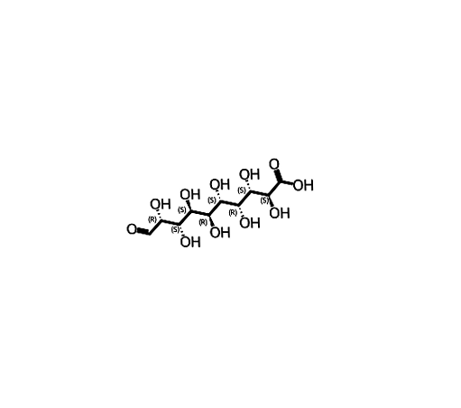 O=C[C@H](O)[C@@H](O)[C@@H](O)[C@H](O)[C@H](O)[C@@H](O)[C@H](O)[C@H](O)C(=O)O